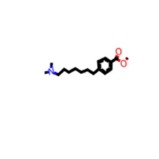 COC(=O)c1ccc(CCCCCCCN(C)C)cc1